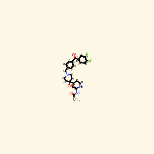 CC(=O)NC1=CC(C2(O)CCN(Cc3ccc(C(=O)c4ccc(F)c(F)c4)cc3)CC2)CC=N1